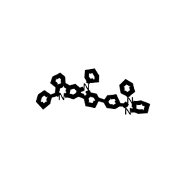 c1ccc(-c2nc3cc4c5ccc(-c6ccc(-c7nc8ccccc8n7-c7ccccc7)cc6)cc5n(-c5ccccc5)c4cc3c3ccccc23)cc1